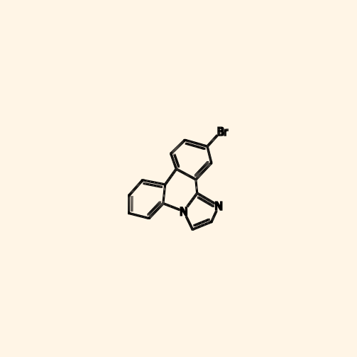 Brc1ccc2c3ccccc3n3ccnc3c2c1